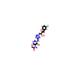 CN1C(=O)COc2ncn(Cc3nnn(C[C@H](O)c4cc5cc(Cl)ccc5o4)n3)c(=O)c21